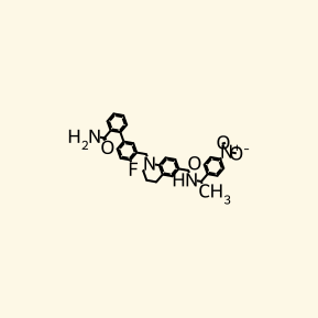 CC(NC(=O)c1ccc2c(c1)CCCN2Cc1cc(-c2ccccc2C(N)=O)ccc1F)c1ccc([N+](=O)[O-])cc1